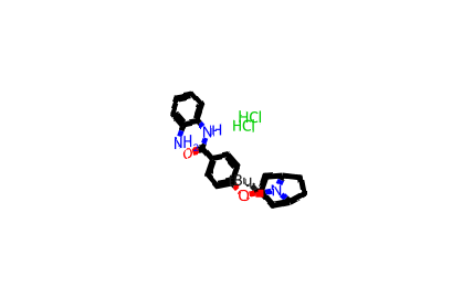 CC(C)(C)CN1C2CCC1CC(Oc1ccc(C(=O)Nc3ccccc3N)cc1)C2.Cl.Cl